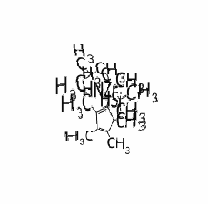 CC1=C(C)C(C)[C]([Zr]([CH3])([CH3])([NH]C(C)(C)C)[SiH](C)C)=C1C